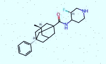 C[C@]12CC3CC(C(=O)NC4CCNC[C@@H]4F)(C1)C[C@@](c1ccccc1)(C3)C2